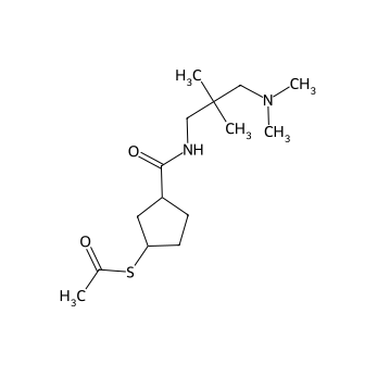 CC(=O)SC1CCC(C(=O)NCC(C)(C)CN(C)C)C1